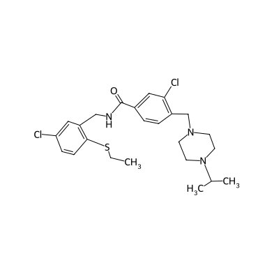 CCSc1ccc(Cl)cc1CNC(=O)c1ccc(CN2CCN(C(C)C)CC2)c(Cl)c1